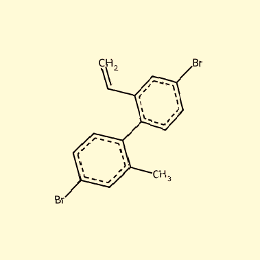 C=Cc1cc(Br)ccc1-c1ccc(Br)cc1C